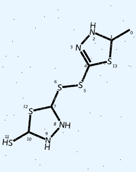 CC1NN=C(SSC2NNC(S)S2)S1